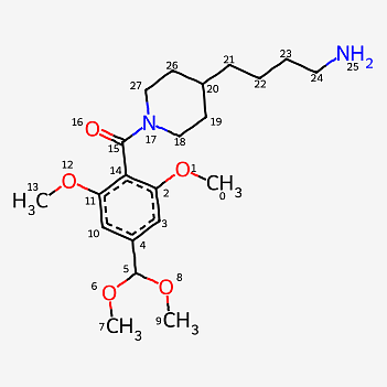 COc1cc(C(OC)OC)cc(OC)c1C(=O)N1CCC(CCCCN)CC1